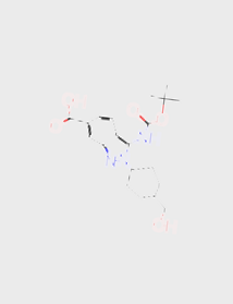 CC(C)(C)OC(=O)Nc1c2ccc(C(=O)O)cc2nn1C1CCC(CO)CC1